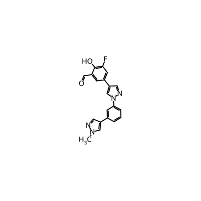 Cn1cc(-c2cccc(-n3cc(-c4cc(F)c(O)c(C=O)c4)cn3)c2)cn1